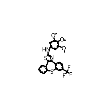 COc1cc(Nc2nc3c(s2)-c2ccccc2Sc2cc(C(F)(F)F)ccc2-3)cc(OC)c1OC